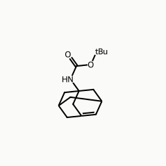 CC(C)(C)OC(=O)NC12CC3=CC(CC(C3)C1)C2